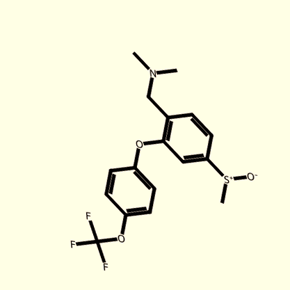 CN(C)Cc1ccc([S+](C)[O-])cc1Oc1ccc(OC(F)(F)F)cc1